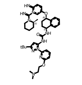 C[C@H]1CCCCN1C(=N)n1cc(O[C@@H]2CC[C@H](NC(=O)Nc3cc(C(C)(C)C)nn3-c3cccc(OCCN(C)C)n3)c3ccccc32)ccc1=N